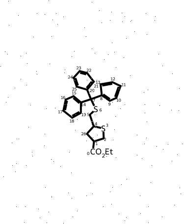 CCOC(=O)C1CSC(CSC(c2ccccc2)(c2ccccc2)c2ccccc2)C1